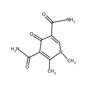 Cc1c(C(N)=O)c(=O)c(C(N)=O)cn1C